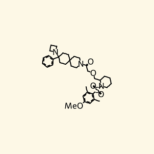 COc1cc(C)c(S(=O)(=O)N2CCCCC2COCC(=O)N2CCC3(CC2)CCC(c2ccccc2)(N2CCC2)CC3)c(C)c1